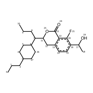 CCCC1CCC(C(CCC)C2Cc3ccc(C(C)O)c(F)c3C(=O)O2)CC1